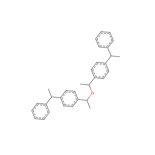 CC(OC(C)c1ccc(C(C)c2ccccc2)cc1)c1ccc(C(C)c2ccccc2)cc1